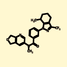 CC1CCCc2c(C(F)(F)F)nn(-c3cccc(C(=O)N(C)c4cnc5c(c4)COC5)c3)c21